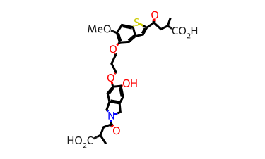 COc1cc2sc(C(=O)CC(C)C(=O)O)cc2cc1OCCCOc1cc2c(cc1O)CN(C(=O)CC(C)C(=O)O)C2